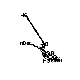 C#CC#CC#CC#CC#CC#CC#CC#CC(=O)OC[C@H](COP(=O)(O)OC1C(O)[C@@H](O)C(OP(=O)(O)O)[C@@H](O)[C@H]1O)OC(=O)CCCCCCCCCCCCCCC